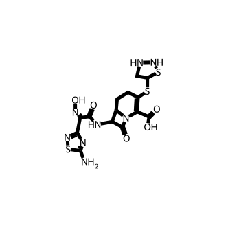 Nc1nc(/C(=N/O)C(=O)NC2C(=O)N3C(C(=O)O)=C(SC4CNNS4)CCC23)ns1